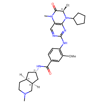 CC[C@@H]1C(=O)N(C)c2cnc(Nc3ccc(C(=O)N[C@H]4C[C@@H]5CCN(C)C[C@@H]5C4)cc3OC)nc2N1C1CCCC1